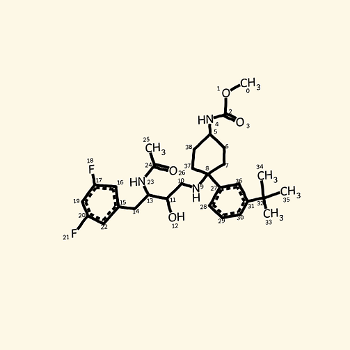 COC(=O)NC1CCC(NCC(O)C(Cc2cc(F)cc(F)c2)NC(C)=O)(c2cccc(C(C)(C)C)c2)CC1